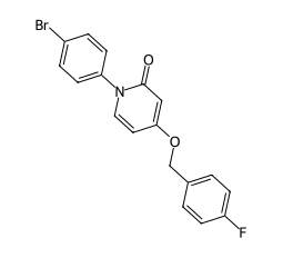 O=c1cc(OCc2ccc(F)cc2)ccn1-c1ccc(Br)cc1